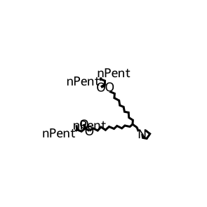 CCCCCC(CCCCC)CC(=O)OCCCCCCCCCCC(CCCCCCCCCCOC(=O)CC(CCCCC)CCCCC)CCN1CCCC1